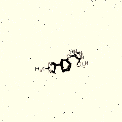 Cc1ncc(-c2cccc(Oc3[nH]nnc3C(=O)O)c2)cn1